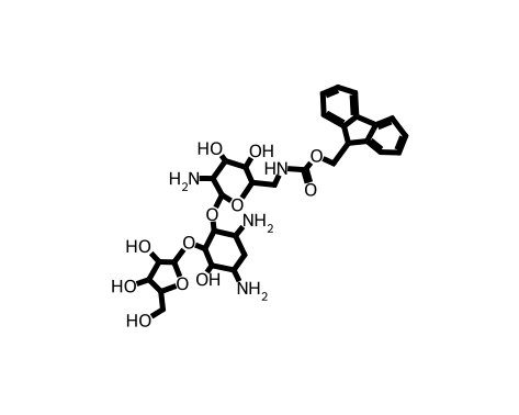 NC1CC(N)C(OC2OC(CNC(=O)OCC3c4ccccc4-c4ccccc43)C(O)C(O)C2N)C(OC2OC(CO)C(O)C2O)C1O